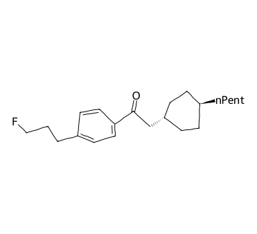 CCCCC[C@H]1CC[C@H](CC(=O)c2ccc(CCCF)cc2)CC1